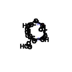 COC1CC2CCC(C)C(O)(O2)C(=O)C(=O)N2CCCCC2C(=O)OC(C(C)CC2CCC(O)C(OC)C2)CC(=O)C(C)/C=C(\C)C(O)C(OC)C(=O)C(C)CC(C)C2C=CC(/C=C/1C)ON2c1ccccc1